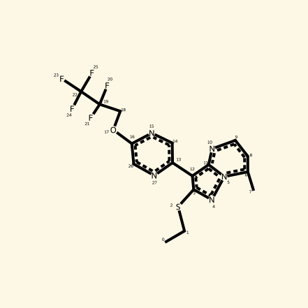 CCSc1nn2c(C)ccnc2c1-c1cnc(OCC(F)(F)C(F)(F)F)cn1